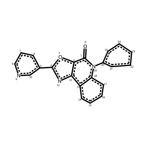 O=c1c2oc(-c3cccnc3)nc2c2ccccc2n1-c1ccccc1